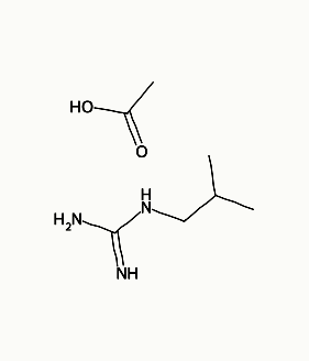 CC(=O)O.CC(C)CNC(=N)N